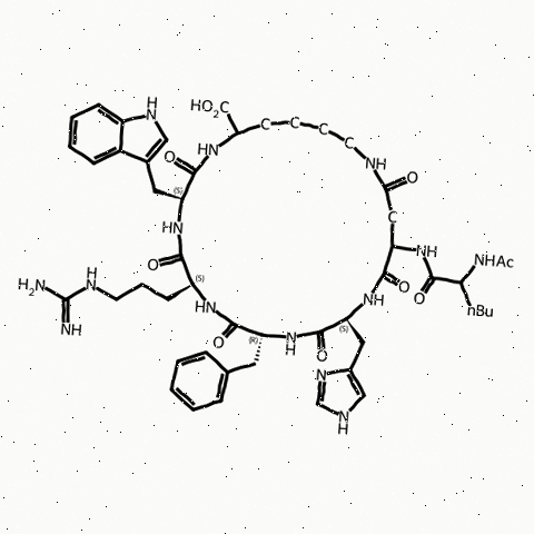 CCCCC(NC(C)=O)C(=O)NC1CC(=O)NCCCCC(C(=O)O)NC(=O)[C@H](Cc2c[nH]c3ccccc23)NC(=O)[C@H](CCCNC(=N)N)NC(=O)[C@@H](Cc2ccccc2)NC(=O)[C@H](Cc2c[nH]cn2)NC1=O